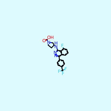 O=C(O)N1CCC(Nc2nnc(-c3ccc(C(F)(F)F)cc3)c3cccc(F)c23)C1